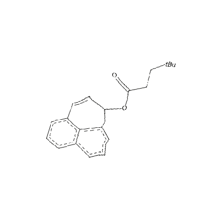 CC(C)(C)CCC(=O)OC1C=Cc2cccc3cccc1c23